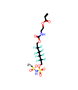 C=CC(=O)OCCNC(=O)OCC(F)(F)C(F)(F)C(F)(F)C(F)(F)COS(=O)(=O)NS(=O)(=O)C(C)C